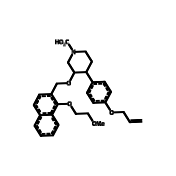 C=CCOc1ccc(C2CCN(C(=O)O)CC2OCc2ccc3ccccc3c2OCCOC)cc1